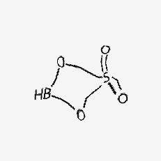 O=S1(=O)OBO1